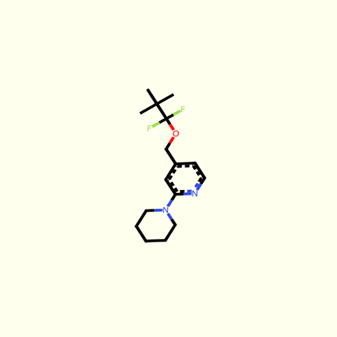 CC(C)(C)C(F)(F)OCc1ccnc(N2CCCCC2)c1